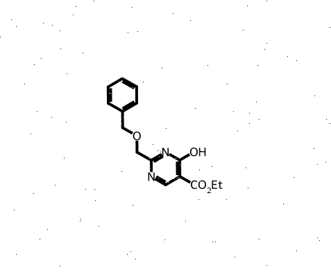 CCOC(=O)c1cnc(COCc2ccccc2)nc1O